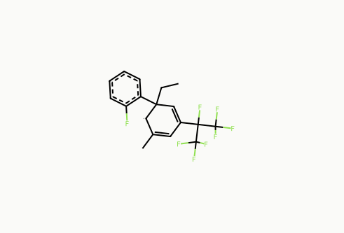 CCC1(c2ccccc2F)[CH]C(C)=CC(C(F)(C(F)(F)F)C(F)(F)F)=C1